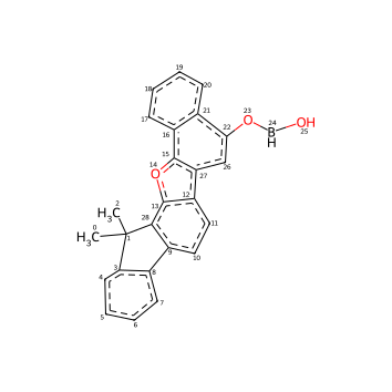 CC1(C)c2ccccc2-c2ccc3c(oc4c5ccccc5c(OBO)cc34)c21